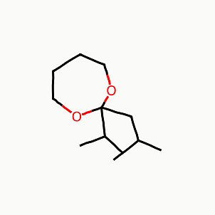 CC(C)CC1(C(C)C)OCCCCO1